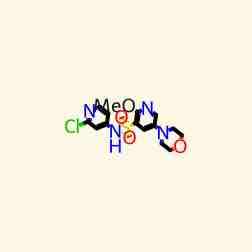 COc1ncc(N2CCOCC2)cc1S(=O)(=O)Nc1ccnc(Cl)c1